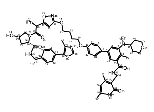 CCN(c1cc(-c2ccc(OCCCCOc3cc(C(C(=O)N4C[C@H](O)C[C@H]4C(=O)N[C@@H](C)c4ccc(-c5scnc5C)cc4)C(C)C)on3)cc2)cc(C(=O)NCc2c(C)cc(C)[nH]c2=O)c1C)C1CCOCC1